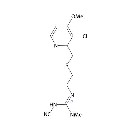 CN/C(=N/CCSCc1nccc(OC)c1Cl)NC#N